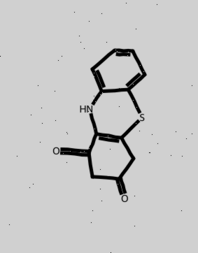 O=C1CC(=O)C2=C(C1)Sc1ccccc1N2